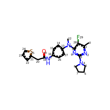 Cc1nc(N2CCCC2)nc(N(C)c2ccc(NC(=O)Cc3cccs3)cc2)c1F